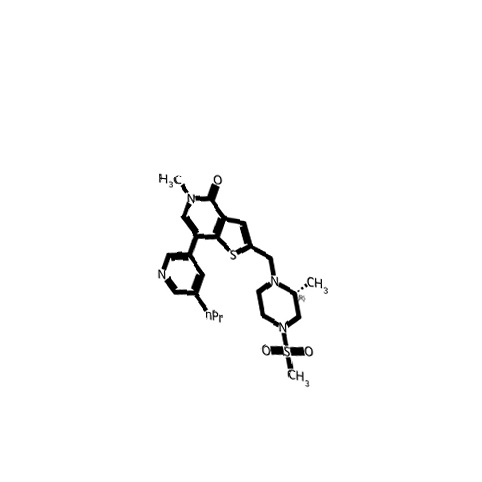 CCCc1cncc(-c2cn(C)c(=O)c3cc(CN4CCN(S(C)(=O)=O)C[C@H]4C)sc23)c1